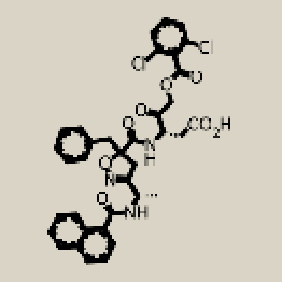 C[C@H](NC(=O)c1cccc2ccccc12)C1=NOC(Cc2ccccc2)(C(=O)N[C@@H](CC(=O)O)C(=O)COC(=O)c2c(Cl)cccc2Cl)C1